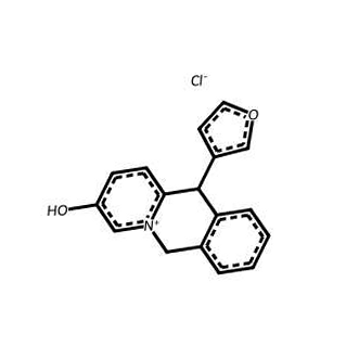 Oc1ccc2[n+](c1)Cc1ccccc1C2c1ccoc1.[Cl-]